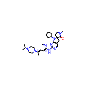 C=N/C(=C\C=C(/C)N1CCN(C(C)C)CC1)Nc1ncc2c(n1)N(C1CCCC1)C1(CCN(C)C1=O)C2